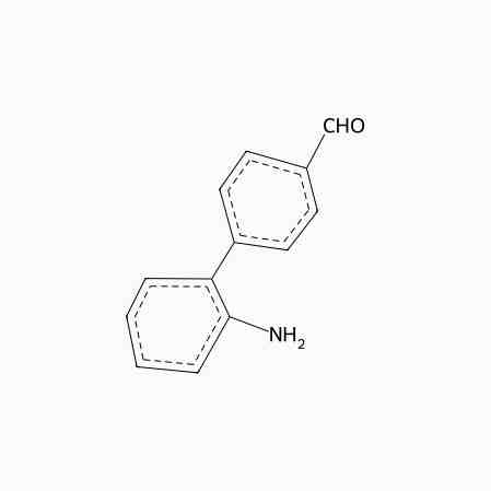 Nc1ccccc1-c1ccc(C=O)cc1